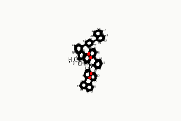 CC1(C)c2cc(N(c3ccc(-c4cccc5cccc(-c6ccccc6)c45)cc3)c3ccccc3-c3ccccc3)ccc2-c2c(-c3ccc(-c4cccc5ccccc45)cc3)cccc21